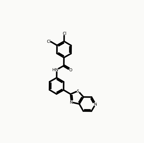 O=C(Nc1cccc(-c2nc3ccncc3s2)c1)c1ccc(Cl)c(Cl)c1